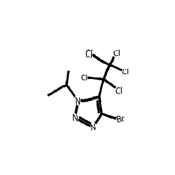 CC(C)n1nnc(Br)c1C(Cl)(Cl)C(Cl)(Cl)Cl